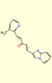 Cc1cccnc1/C=C/C(=O)/C=C/c1cn2ccccc2n1